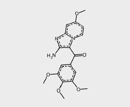 COc1ccn2c(C(=O)c3cc(OC)c(OC)c(OC)c3)c(N)nc2c1